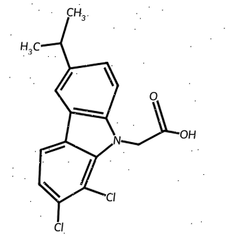 CC(C)c1ccc2c(c1)c1ccc(Cl)c(Cl)c1n2CC(=O)O